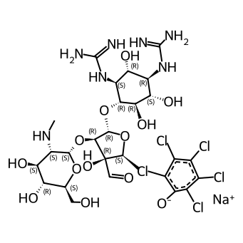 CN[C@@H]1[C@H](O[C@H]2[C@H](O[C@H]3[C@H](O)[C@@H](O)[C@H](NC(=N)N)[C@@H](O)[C@@H]3NC(=N)N)O[C@@H](C)[C@]2(O)C=O)O[C@@H](CO)[C@H](O)[C@H]1O.[Na+].[O-]c1c(Cl)c(Cl)c(Cl)c(Cl)c1Cl